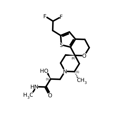 CNC(=O)[C@@H](O)CN1CC[C@]2(C[C@@H]1C)OCCc1cc(CC(F)F)sc12